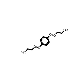 OCCOOc1ccc(OOCCO)cc1